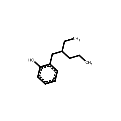 CCCC(CC)Cc1ccccc1O